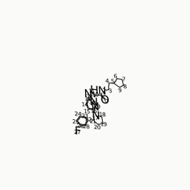 O=C(NCCC1CCCC1)c1cnc2ccc(N3CCC[C@@H]3c3cccc(F)c3)nn12